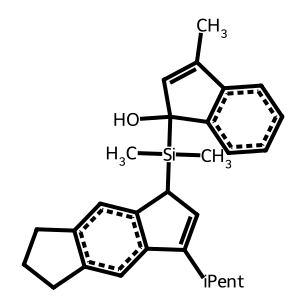 CCCC(C)C1=CC([Si](C)(C)C2(O)C=C(C)c3ccccc32)c2cc3c(cc21)CCC3